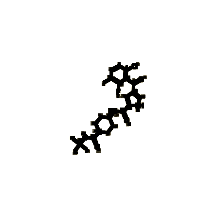 Cc1ccc(Cl)c(C(=O)c2c[nH]c(C(=O)NC3CCN(C(=O)OC(C)(C)C)CC3)c2)c1F